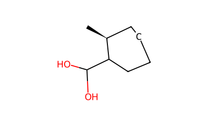 C[C@H]1CCCCC1C(O)O